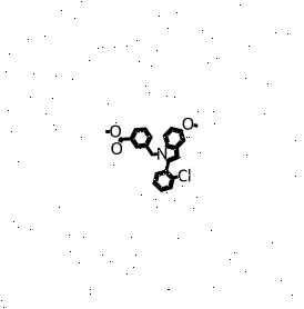 COC(=O)c1cccc(Cn2c(-c3ccccc3Cl)cc3cc(OC)ccc32)c1